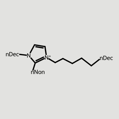 CCCCCCCCCCCCCCC[n+]1ccn(CCCCCCCCCC)c1CCCCCCCCC